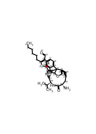 CCCCCCc1oc(-c2nc3oc2C24c5ccccc5NC2Oc2ccc(cc24)C[C@H](N)C(=O)N[C@H]3C(C)C)nc1C=O